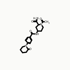 CC(=O)N1CCC(NC(=O)c2ccc(N3CCCCC3=O)cc2)[CH]C1C(N)=O